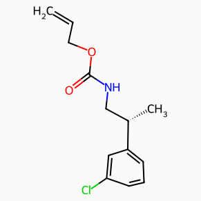 C=CCOC(=O)NC[C@H](C)c1cccc(Cl)c1